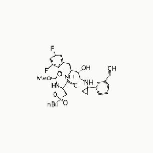 C#Cc1cccc(C2(NC[C@@H](O)[C@H](Cc3cc(F)cc(F)c3)NC(=O)[C@@H](CS(=O)(=O)CCCC)NC(=O)OC)CC2)c1